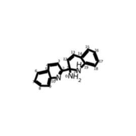 NC1(c2ccc3ccccc3n2)C=Cc2ccccc2N1